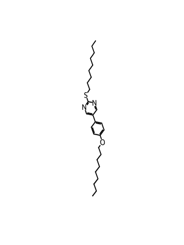 CCCCCCCCCOc1ccc(-c2cnc(SCCCCCCCCC)nc2)cc1